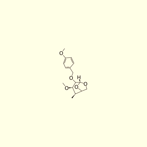 COc1ccc(COC2[C@@H]3OCC(O3)[C@@H](C)[C@H]2OC)cc1